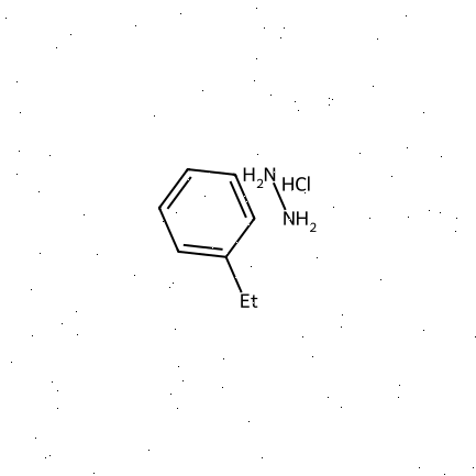 CCc1ccccc1.Cl.NN